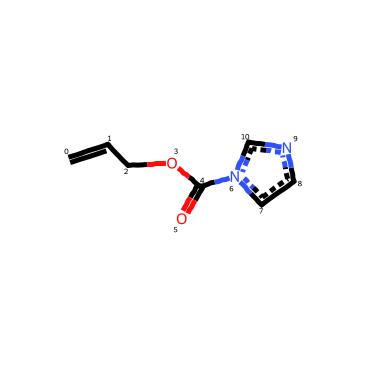 C=CCOC(=O)n1ccnc1